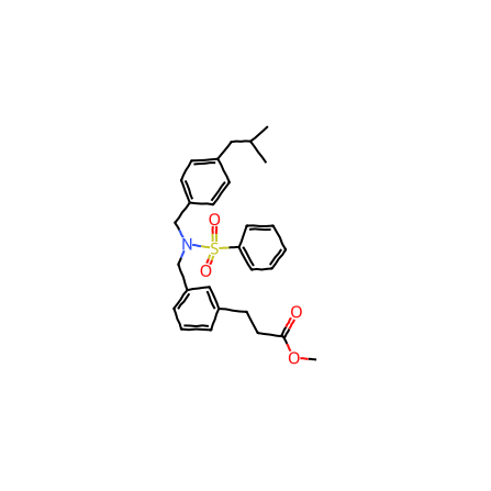 COC(=O)CCc1cccc(CN(Cc2ccc(CC(C)C)cc2)S(=O)(=O)c2ccccc2)c1